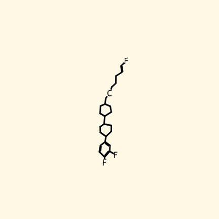 F/C=C/CCCCCC1CCC(C2CCC(c3ccc(F)c(F)c3)CC2)CC1